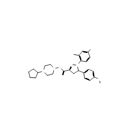 COc1ccc(C2CC(C(=S)NN3CCN(C4CCCC4)CC3)=NN2c2ccc(Cl)cc2Cl)cc1